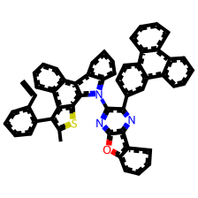 C=Cc1ccccc1-c1c(C)sc2c1c1ccccc1c1c3ccccc3n(-c3nc4oc5ccccc5c4nc3-c3ccc4c5ccccc5c5ccccc5c4c3)c21